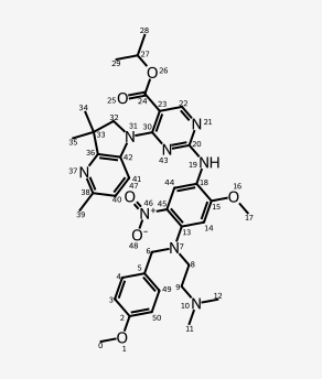 COc1ccc(CN(CCN(C)C)c2cc(OC)c(Nc3ncc(C(=O)OC(C)C)c(N4CC(C)(C)c5nc(C)ccc54)n3)cc2[N+](=O)[O-])cc1